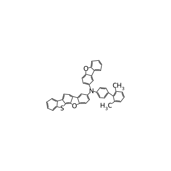 Cc1cccc(C)c1-c1ccc(N(c2ccc3oc4ccccc4c3c2)c2ccc3oc4c(ccc5c6ccccc6sc54)c3c2)cc1